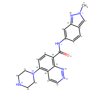 Cn1cc2ccc(NC(=O)c3ccc(N4CCNCC4)c4ccnnc34)cc2n1